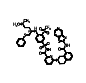 CN(C)CC[C@H](CSc1ccccc1)Nc1ccc(S(=O)(=O)NC(=O)c2cccc(N3CCc4cccc(C(=O)Nc5nc6cnccc6s5)c4C3)n2)cc1S(=O)(=O)C(F)(F)F